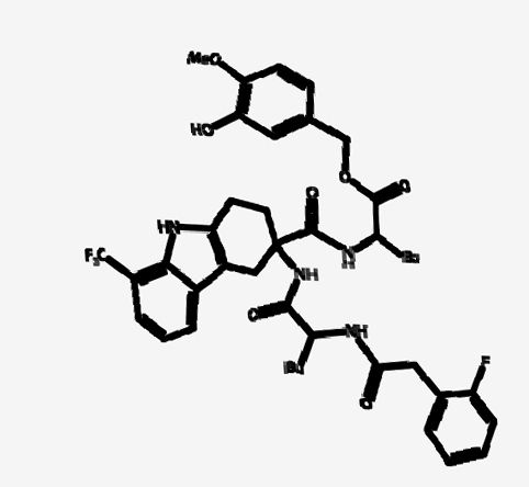 CCC(C)C(NC(=O)Cc1ccccc1F)C(=O)NC1(C(=O)NC(C(=O)OCc2ccc(OC)c(O)c2)C(C)CC)CCc2[nH]c3c(C(F)(F)F)cccc3c2C1